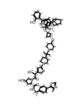 Cc1ncsc1-c1ccc([C@H](C)NC(=O)[C@@H]2C[C@@H](O)CN2C(=O)C(c2cc(N3CCC(C(C)(C)N4CCC(O[C@H]5C[C@H](Oc6cc(N7C8CCC7CN(c7cc(-c9ccccc9O)nnc7N)C8)ccn6)C5)CC4)CC3)no2)C(C)C)cc1